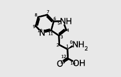 N[C@H](Cc1c[nH]c2cccnc12)C(=O)O